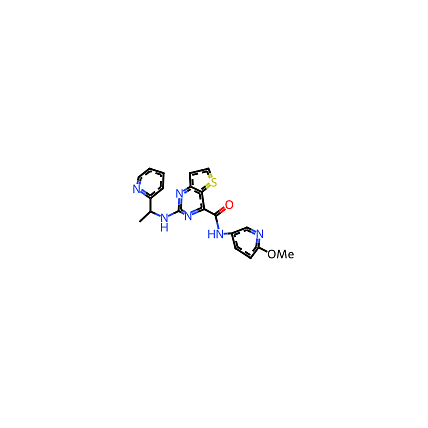 COc1ccc(NC(=O)c2nc(NC(C)c3ccccn3)nc3ccsc23)cn1